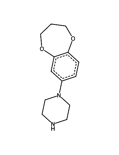 c1cc2c(cc1N1CCNCC1)OCCCO2